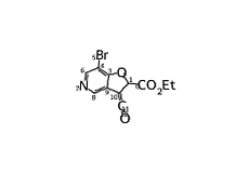 CCOC(=O)C1Oc2c(Br)cncc2C1=C=O